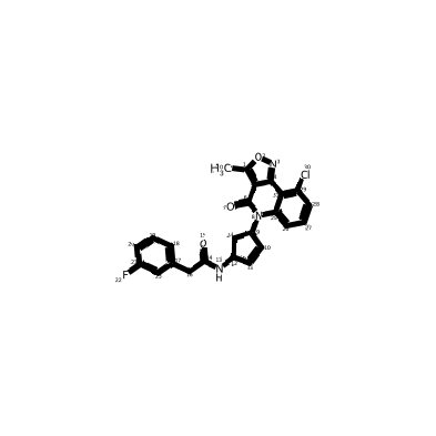 Cc1onc2c1c(=O)n(C1C=CC(NC(=O)Cc3cccc(F)c3)C1)c1cccc(Cl)c21